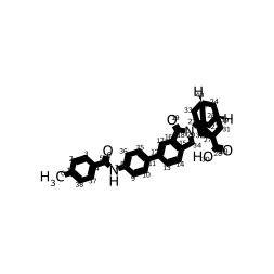 Cc1ccc(C(=O)Nc2ccc(-c3ccc4c(c3)C(=O)N(C35C[C@@H]6C[C@@H](CC(C(=O)O)(C6)C3)C5)C4)cc2)cc1